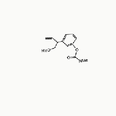 C=CC(COC)c1cccc(OC(=O)NC)c1